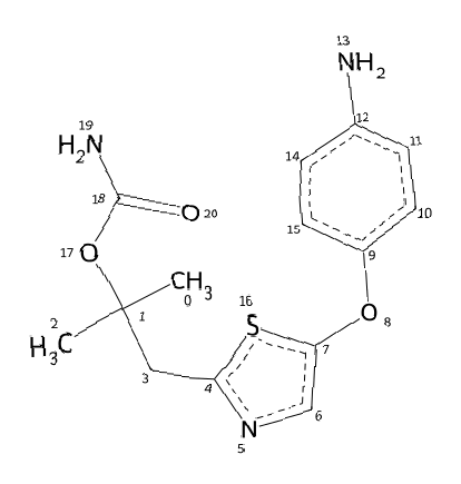 CC(C)(Cc1ncc(Oc2ccc(N)cc2)s1)OC(N)=O